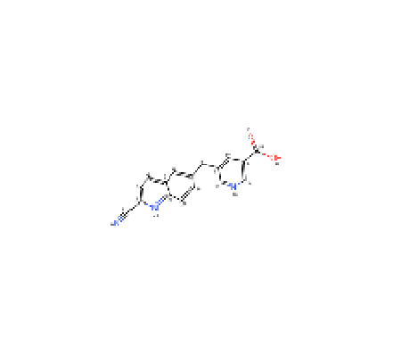 N#Cc1ccc2cc(Cc3cncc(C(=O)O)c3)ccc2n1